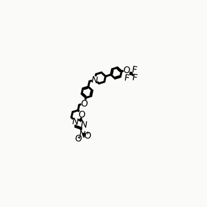 O=[N+]([O-])c1cn2c(n1)OC(COc1ccc(CN3CCC(c4ccc(OC(F)(F)F)cc4)CC3)cc1)CC2